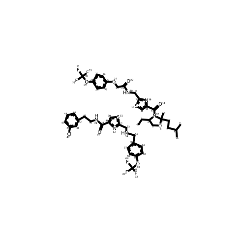 CCC1COC(C)(CCC(C)C)N1C(=O)c1csc(CNC(=O)COc2ccc(OC(F)(F)F)cc2)n1.O=C(NCCc1cccc(Cl)c1)c1csc(CNCc2ccc(OC(F)(F)F)cc2)n1